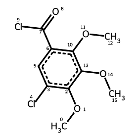 COc1c(Cl)cc(C(=O)Cl)c(OC)c1OC